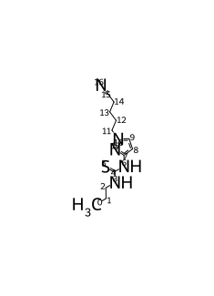 CCCNC(=S)Nc1ccn(CCCCC#N)n1